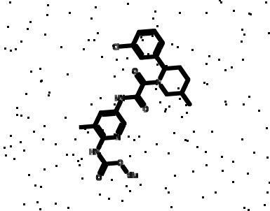 Cc1cc(NC(=O)C(=O)N2CC(C)CCC2c2cccc(Cl)c2)cnc1NC(=O)OC(C)(C)C